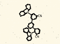 N#Cc1cc(-c2cccc(-c3cccc(C#N)c3-n3c4ccccc4c4ccccc43)c2)cc(-n2c3ccccc3c3ccccc32)c1